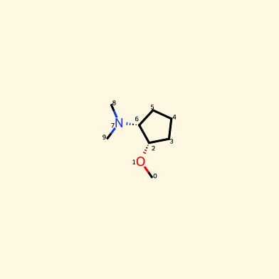 CO[C@H]1CCC[C@H]1N(C)C